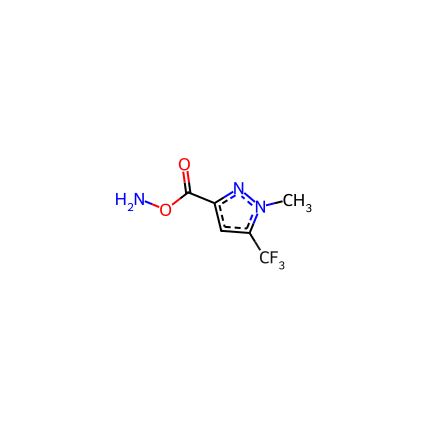 Cn1nc(C(=O)ON)cc1C(F)(F)F